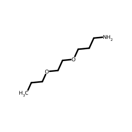 CCCOCCOCCCN